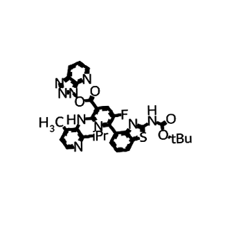 Cc1ccnc(C(C)C)c1Nc1nc(-c2cccc3sc(NC(=O)OC(C)(C)C)nc23)c(F)cc1C(=O)On1nnc2cccnc21